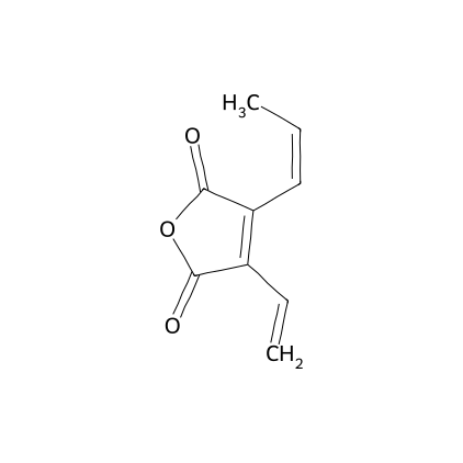 C=CC1=C(/C=C\C)C(=O)OC1=O